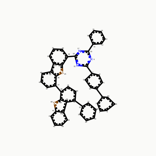 c1ccc(-c2ccc(-c3nc(-c4ccccc4)nc(-c4cccc5c4sc4c(-c6ccc(-c7ccccc7)c7c6sc6ccccc67)cccc45)n3)cc2)cc1